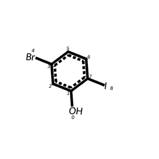 Oc1cc(Br)ccc1I